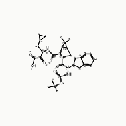 CC(C)(C)OC(=O)N[C@H](C(=O)N1CC2C(C1C(=O)NC(CC1CC1)C(=O)C(=O)O)C2(C)C)C1Cc2ccccc2C1